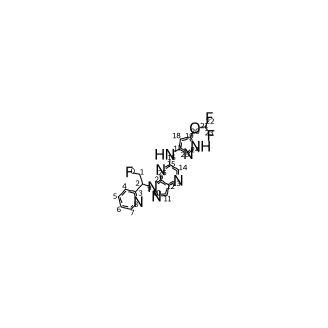 FCC(c1ccccn1)n1ncc2ncc(Nc3cc(OC(F)F)[nH]n3)nc21